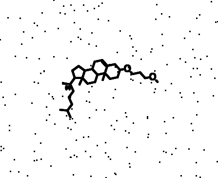 COCCCOC1CCC2(C)C(=CCC3C2CCC2(C)C3CCC2[C@H](C)CCCC(C)C)C1